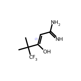 CC(C)(/C(O)=C/C(=N)N)C(F)(F)F